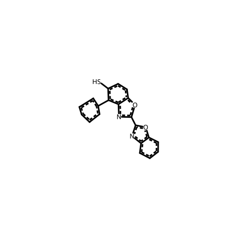 Sc1ccc2oc(-c3nc4ccccc4o3)nc2c1-c1ccccc1